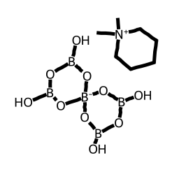 C[N+]1(C)CCCCC1.OB1OB(O)O[B-]2(O1)OB(O)OB(O)O2